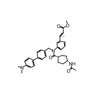 COC(=O)/C=C/c1cccc(N(Cc2ccc(-c3ccc(N(C)C)cc3)cc2)C(=O)[C@H]2CC[C@H](NC(C)=O)CC2)c1